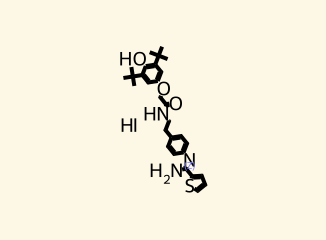 CC(C)(C)c1cc(OCC(=O)NCCc2ccc(/N=C(\N)c3cccs3)cc2)cc(C(C)(C)C)c1O.I